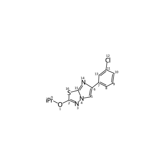 CC(C)Oc1nn2cc(-c3cccc(Cl)c3)nc2s1